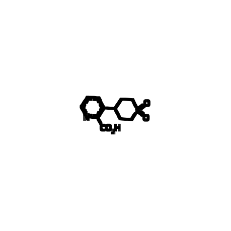 O=C(O)c1ncccc1C1CCS(=O)(=O)CC1